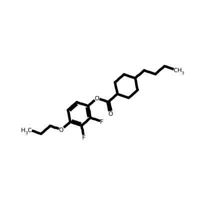 CCCCC1CCC(C(=O)Oc2ccc(OCCC)c(F)c2F)CC1